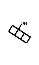 OC12C3C4C5C3C1C5C42